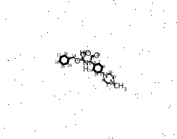 CN1CCN(c2ccc(C(NC(=O)OCc3ccccc3)C(=O)O)cc2)CC1